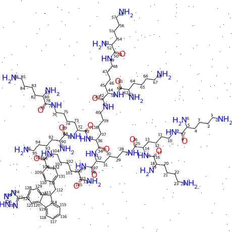 NCCCCC(N)C(=O)NCCCCC(NC(=O)C(N)CCCCN)C(=O)NCCCCC(NC(=O)C(CCCCNC(=O)C(CCCCNC(=O)C(N)CCCCN)NC(=O)C(N)CCCCN)NC(=O)C(CCCCNC(=O)C(N)CCCCN)NC(=O)C(N)CCCCN)C(=O)NC(CCCCNC(=O)c1ccc(CC2c3ccccc3-c3cc(-c4nn[nH]n4)ccc32)cc1)C(N)=O